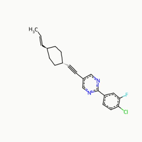 C/C=C/[C@H]1CC[C@H](C#Cc2cnc(-c3ccc(Cl)c(F)c3)nc2)CC1